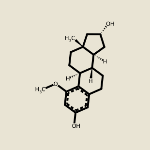 COc1cc(O)cc2c1[C@H]1CC[C@]3(C)C[C@H](O)C[C@H]3[C@@H]1CC2